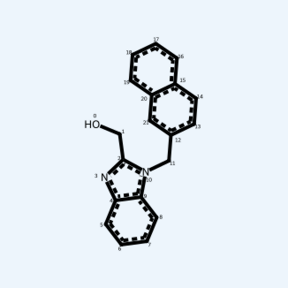 OCc1nc2ccccc2n1Cc1ccc2ccccc2c1